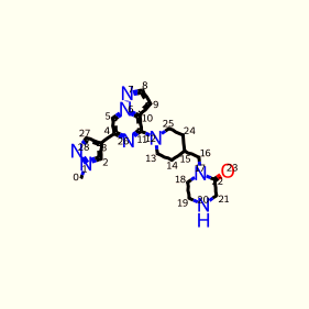 Cn1cc(-c2cn3nccc3c(N3CCC(CN4CCNCC4=O)CC3)n2)cn1